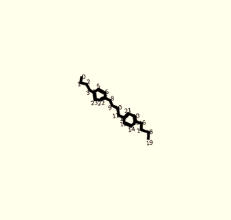 CCCCc1ccc(CCCCc2ccc(CCCC)cc2)cc1